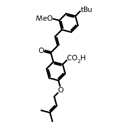 COc1cc(C(C)(C)C)ccc1C=CC(=O)c1ccc(OCC=C(C)C)cc1C(=O)O